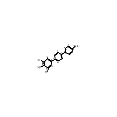 CCC(C)c1ccc(-c2ccc(-c3cc(F)c(F)c(F)c3)cc2)cc1